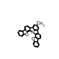 Cc1cc2c3ccc4c5ccccc5oc4c3n3c2c(c1)c1ccc2c4ccccc4oc2c13